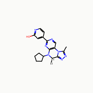 CC[C@@H]1c2nnc(C)n2-c2cnc(-c3ccnc(O)c3)nc2N1C1CCCC1